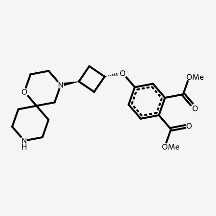 COC(=O)c1ccc(O[C@H]2C[C@H](N3CCOC4(CCNCC4)C3)C2)cc1C(=O)OC